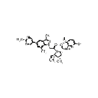 C=C[C@@H]1[C@@H](C)C[C@@H](C(=O)Nc2nc(Br)ccc2C)N1C(=O)Cn1nc(C(C)=O)c2cc(-c3cnc(C)nc3)cc(C(F)(F)F)c21